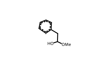 COC(O)Cc1[c]cccc1